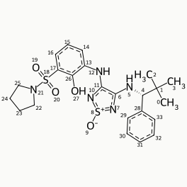 CC(C)(C)[C@@H](Nc1n[s+]([O-])nc1Nc1cccc(S(=O)(=O)N2CCCC2)c1O)c1ccccc1